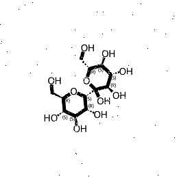 OC[C@H]1O[C@H](C2(O)O[C@H](CO)[C@@H](O)[C@H](O)[C@H]2O)[C@H](O)[C@@H](O)[C@@H]1O